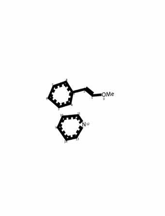 COC=Cc1ccccc1.c1ccncc1